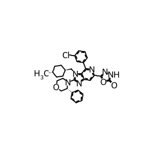 C[C@H]1CC[C@H](Cn2c(N3CCOC[C@H]3c3ccccc3)nc3cc(-c4n[nH]c(=O)o4)nc(-c4cccc(Cl)c4)c32)CC1